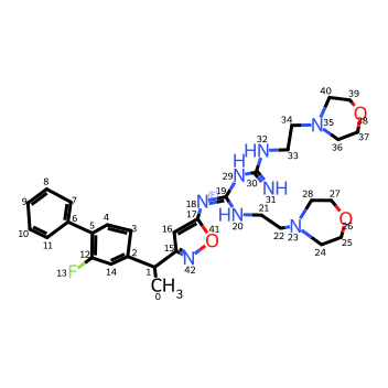 CC(c1ccc(-c2ccccc2)c(F)c1)c1cc(/N=C(\NCCN2CCOCC2)NC(=N)NCCN2CCOCC2)on1